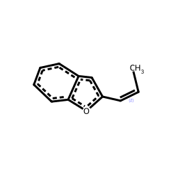 C/C=C\c1cc2ccccc2o1